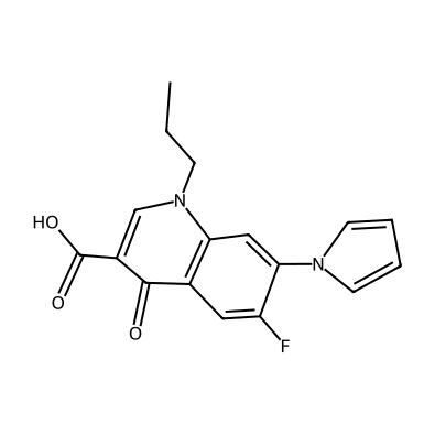 CCCn1cc(C(=O)O)c(=O)c2cc(F)c(-n3cccc3)cc21